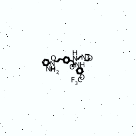 Nc1ccccc1NC(=O)/C=C/c1ccc(C(NCCN2CCOCC2)C(=O)Nc2ccc(OC(F)(F)F)cc2)cc1